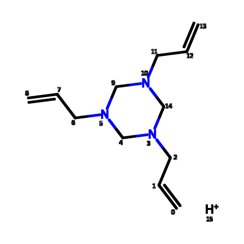 C=CCN1CN(CC=C)CN(CC=C)C1.[H+]